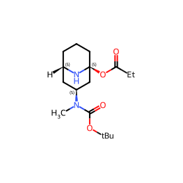 CCC(=O)O[C@@]12CCC[C@@H](C[C@H](N(C)C(=O)OC(C)(C)C)C1)N2